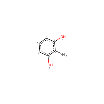 [2H]c1c(O)cccc1O